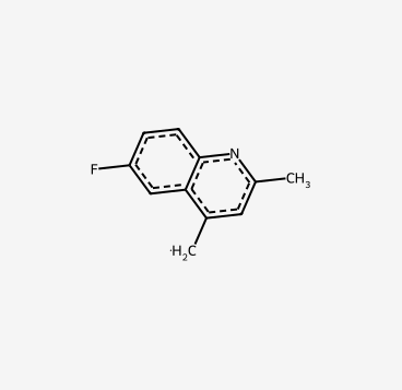 [CH2]c1cc(C)nc2ccc(F)cc12